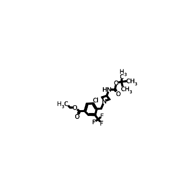 CCOC(=O)c1cc(Cl)c(CN2CC(NC(=O)OC(C)(C)C)C2)c(C(F)(F)F)c1